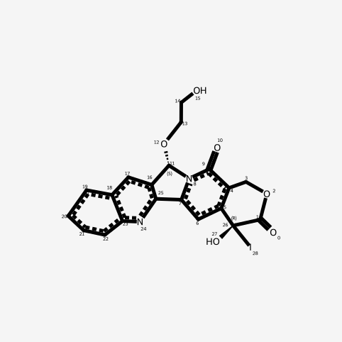 O=C1OCc2c(cc3n(c2=O)[C@@H](OCCO)c2cc4ccccc4nc2-3)[C@@]1(O)I